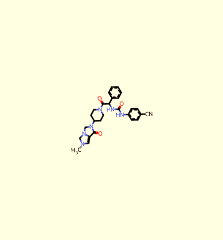 CN1C=C2C(=O)N(C3CCN(C(=O)C(NC(=O)Nc4ccc(C#N)cc4)c4ccccc4)CC3)CN2C1